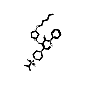 CCCCCO[C@H]1CC[C@H](Oc2c(N3CCN(S(=O)(=O)C(C)C)CC3)cnn(-c3ccccc3)c2=O)C1